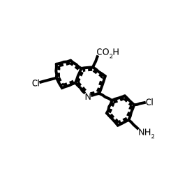 Nc1ccc(-c2cc(C(=O)O)c3ccc(Cl)cc3n2)cc1Cl